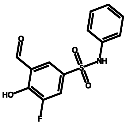 O=Cc1cc(S(=O)(=O)Nc2ccccc2)cc(F)c1O